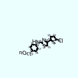 CCCCCCCCc1ccc(Nc2nc(-c3ccc(Cl)s3)cs2)cc1